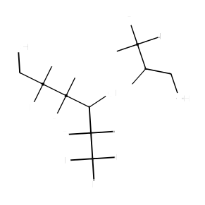 OCC(F)(F)C(F)(F)C(O)C(F)(F)C(F)(F)F.OCC(F)C(F)(F)F